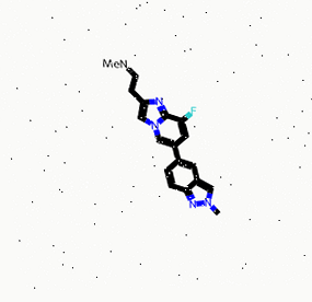 CNCCc1cn2cc(-c3ccc4nn(C)cc4c3)cc(F)c2n1